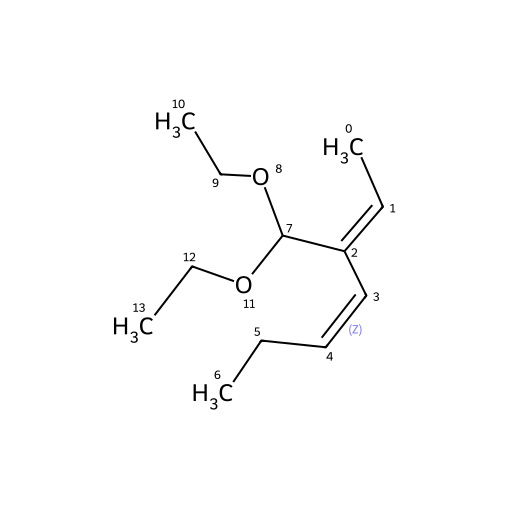 CC=C(/C=C\CC)C(OCC)OCC